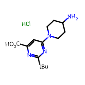 CC(C)(C)c1nc(C(=O)O)cc(N2CCC(N)CC2)n1.Cl